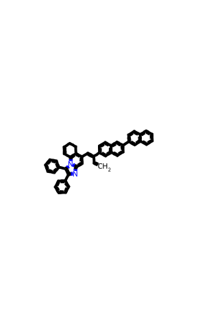 C=C/C(=C\c1cc2nc(-c3ccccc3)c(-c3ccccc3)n2c2c1CCC=C2)c1ccc2cc(-c3ccc4ccccc4c3)ccc2c1